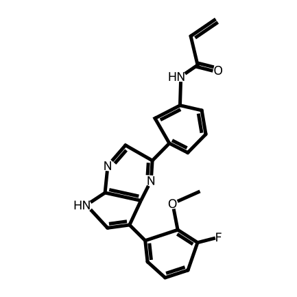 C=CC(=O)Nc1cccc(-c2cnc3[nH]cc(-c4cccc(F)c4OC)c3n2)c1